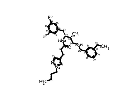 CCCCn1cc(CCC(=O)N[C@@H](Cc2cc(F)cc(F)c2)[C@@H](O)CNCc2cccc(CC)c2)cn1